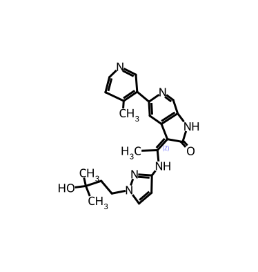 C/C(Nc1ccn(CCC(C)(C)O)n1)=C1/C(=O)Nc2cnc(-c3cnccc3C)cc21